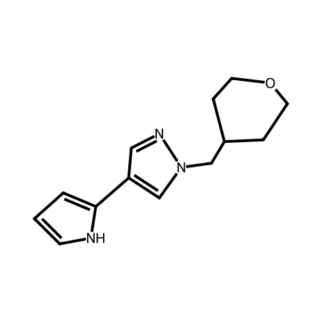 c1c[nH]c(-c2cnn(CC3CCOCC3)c2)c1